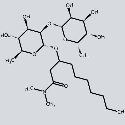 CCCCCCCC(CC(=O)N(C)C)O[C@@H]1O[C@@H](C)[C@H](O)[C@@H](O)[C@H]1O[C@H]1O[C@@H](C)[C@@H](O)[C@H](O)[C@@H]1O